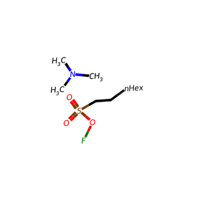 CCCCCCCCS(=O)(=O)OF.CN(C)C